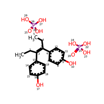 CCC(=C(CC)c1ccc(O)cc1)c1ccc(O)cc1.O=P(O)(O)O.O=P(O)(O)O